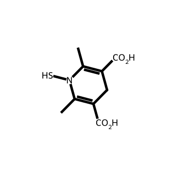 CC1=C(C(=O)O)CC(C(=O)O)=C(C)N1S